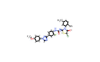 Cc1ccc(C(C)C)c(N2C(=O)C(Cl)S/C2=N\C(=O)Nc2ccc(-c3ncn(-c4ccc(OC(F)(F)F)cc4)n3)cc2F)c1